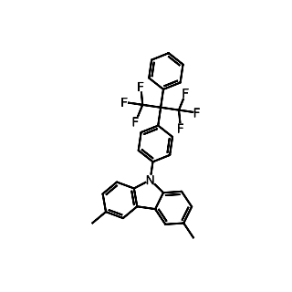 Cc1ccc2c(c1)c1cc(C)ccc1n2-c1ccc(C(c2ccccc2)(C(F)(F)F)C(F)(F)F)cc1